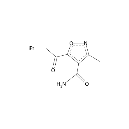 Cc1noc(C(=O)CC(C)C)c1C(N)=O